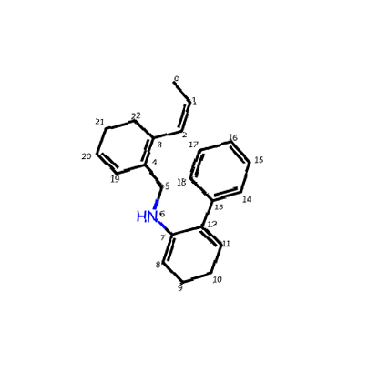 C/C=C\C1=C(CNC2=CCCC=C2c2ccccc2)C=CCC1